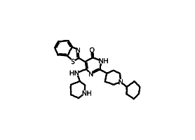 O=c1[nH]c(C2CCN(C3CCCCC3)CC2)nc(NC2CCCNC2)c1-c1nc2ccccc2s1